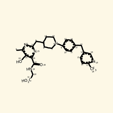 Cc1nc(CC2CCN(c3ccc(Cc4ccc(C(F)(F)F)nc4)cc3)CC2)nc(C(=O)NCC(=O)O)c1O